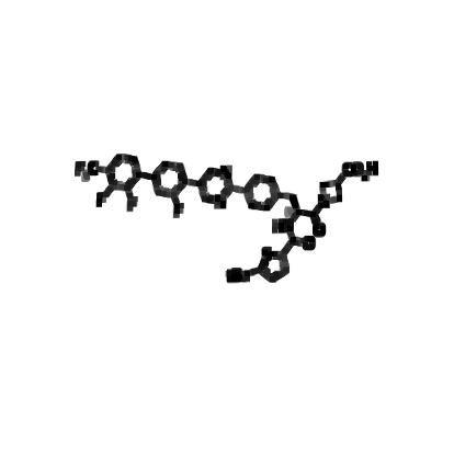 CC(C)(C)c1ccc(C(=O)N[C@@H](Cc2ccc(-c3ncc(-c4ccc(-c5ccc(C(F)(F)F)c(F)c5F)cc4F)cn3)cc2)C(=O)N2CC(C(=O)O)C2)s1